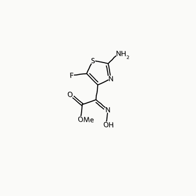 COC(=O)C(=NO)c1nc(N)sc1F